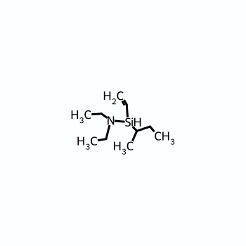 C=C[SiH](C(C)CC)N(CC)CC